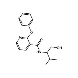 CC(C)C(CO)NC(=O)c1cccnc1Oc1cccnc1